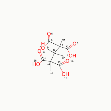 CC(C(=O)O)(C(=O)O)C(C)(C)C(C)(C(=O)O)C(=O)O